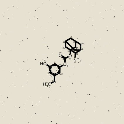 CCc1cc(O)cc(OC(=O)OC23CC4CC(CC(C4)C2C)C3)c1